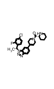 C[C@H](c1ccc(Cl)cc1F)n1nnc2ccc(C3=CCN(C(=O)[C@H]4CCCCN4)CC3)cc21